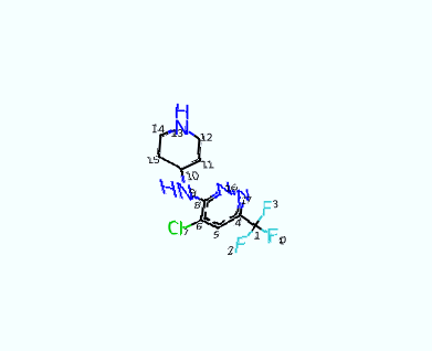 FC(F)(F)c1cc(Cl)c(NC2CCNCC2)nn1